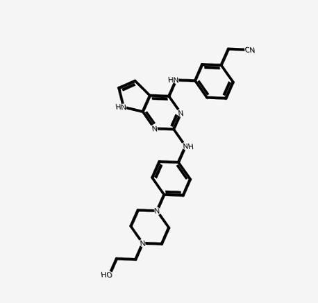 N#CCc1cccc(Nc2nc(Nc3ccc(N4CCN(CCO)CC4)cc3)nc3[nH]ccc23)c1